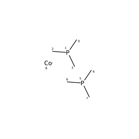 CP(C)C.CP(C)C.[Co]